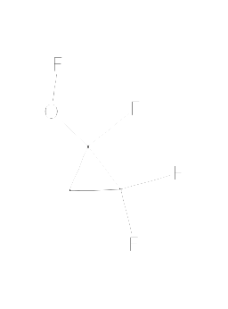 FOC1(F)CC1(F)F